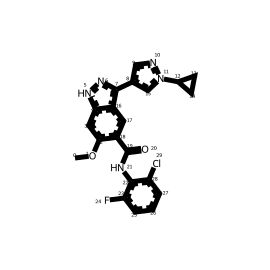 COc1cc2[nH]nc(-c3cnn(C4CC4)c3)c2cc1C(=O)Nc1c(F)cccc1Cl